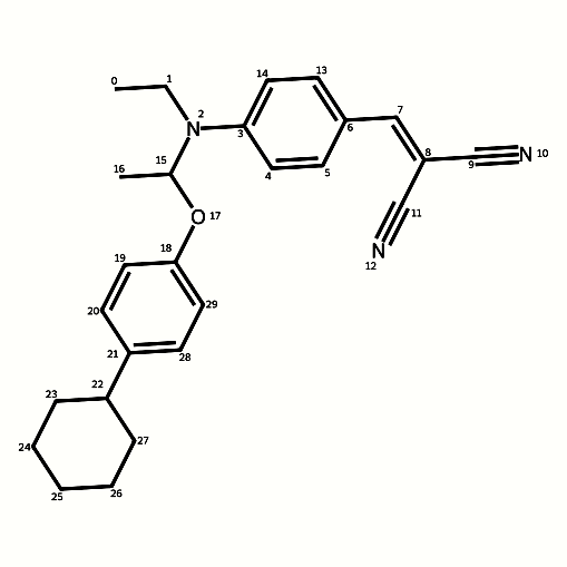 CCN(c1ccc(C=C(C#N)C#N)cc1)C(C)Oc1ccc(C2CCCCC2)cc1